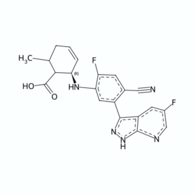 CC1CC=C[C@@H](Nc2cc(-c3n[nH]c4ncc(F)cc34)c(C#N)cc2F)C1C(=O)O